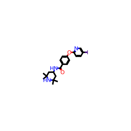 CC1(C)CC(NC(=O)c2ccc(Oc3ccc(I)cn3)cc2)CC(C)(C)N1